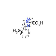 CC1CCCCCCC(c2ccn3ncc(C(=O)O)c3n2)C1